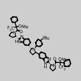 COC(C(=O)N1CCC[C@H]1c1nc2ccc(C3CC[C@H](c4ccc5nc([C@@H]6CCCN6C(=O)C(OC)(c6ccccc6)C(F)(F)F)[nH]c5c4)N3c3ccc(C(C)(C)C)cc3)cc2[nH]1)(c1ccccc1)C(F)(F)F